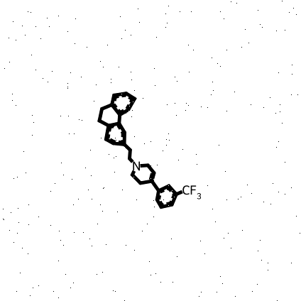 FC(F)(F)c1cccc(C2=CCN(CCc3ccc4c(c3)-c3ccccc3CC4)CC2)c1